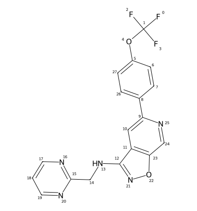 FC(F)(F)Oc1ccc(-c2cc3c(NCc4ncccn4)noc3cn2)cc1